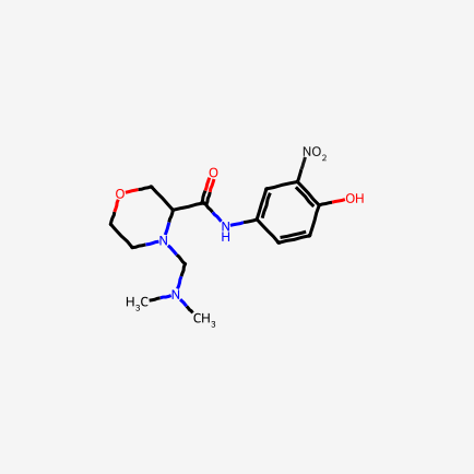 CN(C)CN1CCOCC1C(=O)Nc1ccc(O)c([N+](=O)[O-])c1